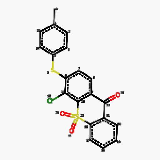 Cc1ccc(Sc2ccc3c(c2Cl)S(=O)(=O)c2ccccc2C3=O)cc1